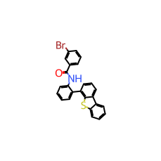 O=C(Nc1ccccc1-c1cccc2c1sc1ccccc12)c1cccc(Br)c1